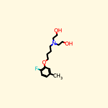 Cc1ccc(F)c(OCCCCN(CCO)CCO)c1